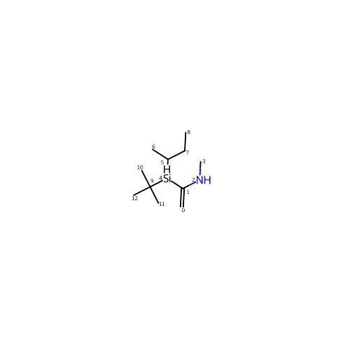 C=C(NC)[SiH](C(C)CC)C(C)(C)C